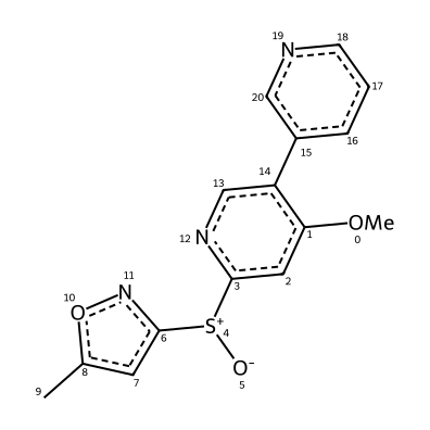 COc1cc([S+]([O-])c2cc(C)on2)ncc1-c1cccnc1